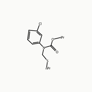 CCCSCN(C(=O)OC(C)C)c1cccc(Cl)c1